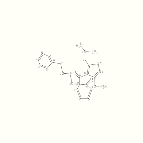 CCCCOc1noc(CN(C)C)c1C(=O)[C@]1(OCOCc2ccccc2)C=CC=CC1=O